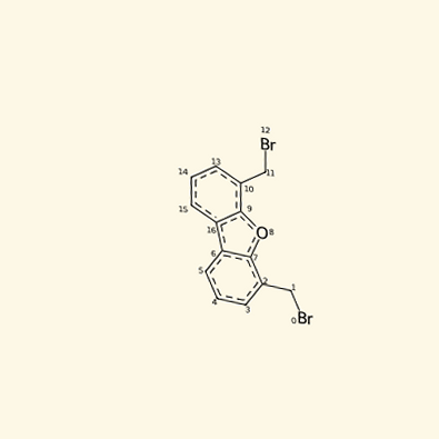 BrCc1cccc2c1oc1c(CBr)cccc12